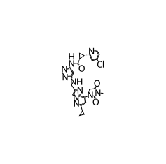 CN1C(=O)CN(c2cc(C3CC3)nn3cc(CNc4cc(NC(=O)[C@H]5C[C@@H]5c5cc(Cl)ccn5)ncn4)nc23)C1=O